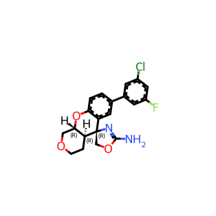 NC1=N[C@@]2(CO1)c1cc(-c3cc(F)cc(Cl)c3)ccc1O[C@H]1COCC[C@@H]12